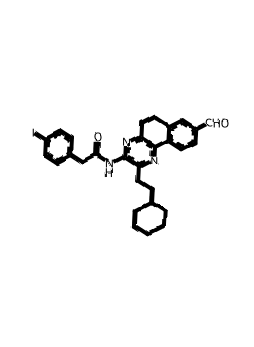 O=Cc1ccc2c(c1)CCc1nc(NC(=O)Cc3ccc(I)cc3)c(CCC3CCCCC3)nc1-2